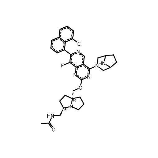 CC(=O)NC[C@H]1CC[C@@]2(COc3nc(N4CC5CCC(C4)N5)c4cnc(-c5cccc6cccc(Cl)c56)c(F)c4n3)CCCN12